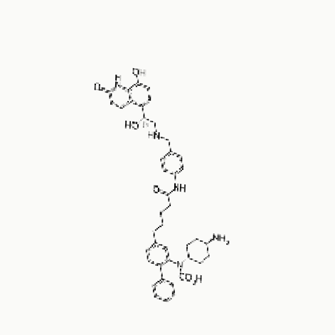 N[C@H]1CC[C@H](N(C(=O)O)c2cc(CCCCC(=O)Nc3ccc(CNC[C@H](O)c4ccc(O)c5[nH]c(=O)ccc45)cc3)ccc2-c2ccccc2)CC1